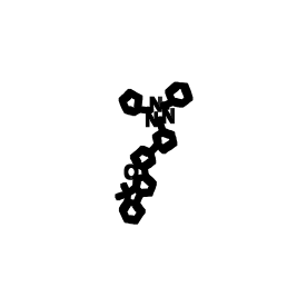 CC1(C)c2ccccc2-c2ccc3c(oc4ccc(-c5cccc(-c6nc(-c7ccccc7)nc(-c7ccccc7)n6)c5)cc43)c21